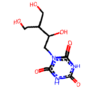 O=c1[nH]c(=O)n(CC(O)C(CO)CO)c(=O)[nH]1